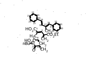 C=C(C=C(C)C(=O)O)C(=O)OCC.C=CC(=O)O.C=CC(=O)OCCCC.CC(C=Cc1ccccc1)=Cc1ccccc1